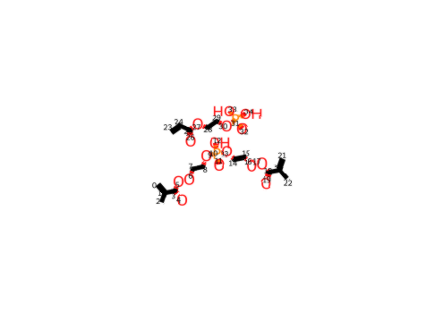 C=C(C)C(=O)OOCCOP(=O)(O)OCCOOC(=O)C(=C)C.C=CC(=O)OCCOP(=O)(O)O